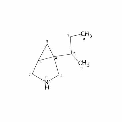 CCC(C)C12CNCC1C2